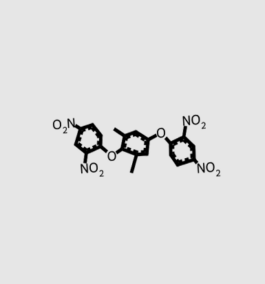 Cc1cc(Oc2ccc([N+](=O)[O-])cc2[N+](=O)[O-])cc(C)c1Oc1ccc([N+](=O)[O-])cc1[N+](=O)[O-]